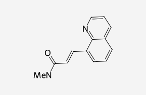 CNC(=O)/C=C/c1cccc2cccnc12